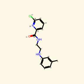 Cc1cccc(NCCNC(=O)c2cccc(Cl)n2)c1